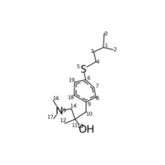 CC(C)CCSc1ccc(CC(C)(O)CN(C)C)cc1